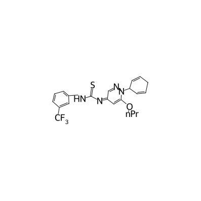 CCCOc1cc(=NC(=S)NCc2cccc(C(F)(F)F)c2)cnn1C1C=CCC=C1